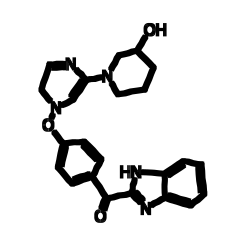 O=C(c1ccc(ON2C=C(N3CCCC(O)C3)N=CC2)cc1)c1nc2ccccc2[nH]1